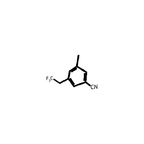 Cc1cc(C#N)cc(CC(F)(F)F)c1